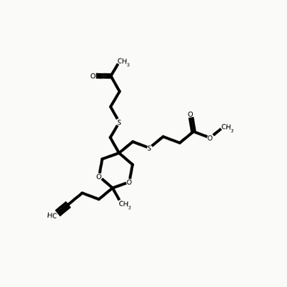 C#CCCC1(C)OCC(CSCCC(C)=O)(CSCCC(=O)OC)CO1